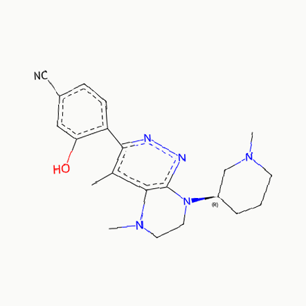 Cc1c(-c2ccc(C#N)cc2O)nnc2c1N(C)CCN2[C@@H]1CCCN(C)C1